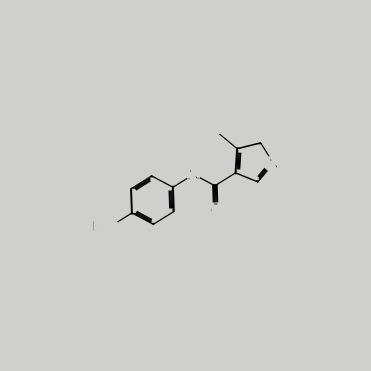 CC1=C(C(=O)Nc2ccc(C(F)(F)F)cc2)C=NC1